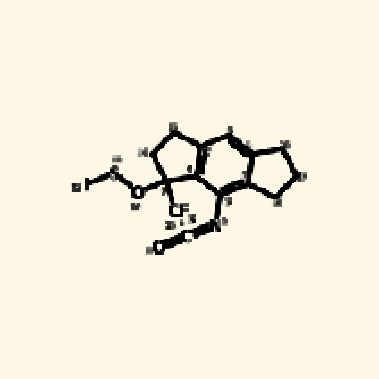 O=C=Nc1c2c(cc3c1C(OSI)(C(F)(F)F)CC3)CCC2